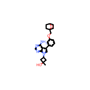 CC1(O)CC(n2cc(-c3cccc(OCC45CCC(CC4)O5)c3)c3c(N)ncnc32)C1